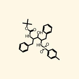 Cc1ccc(S(=O)(=O)NC(Cc2ccccc2)C(O)C(Cc2ccccc2)NC(=O)OC(C)(C)C)cc1